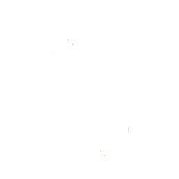 CC(C)(CN)Oc1ccc(F)c(-c2ccc(C(=O)N3CCOCC3)cc2)c1